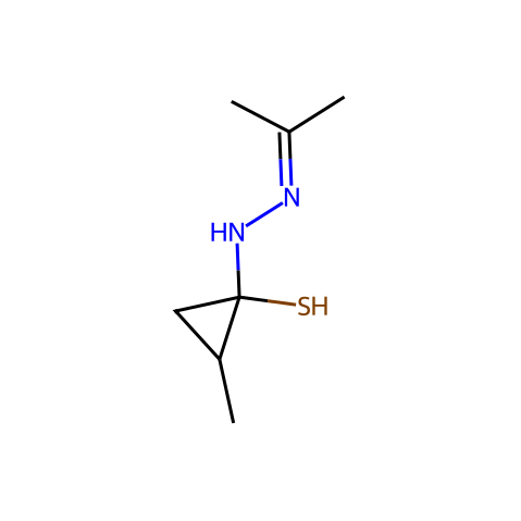 CC(C)=NNC1(S)CC1C